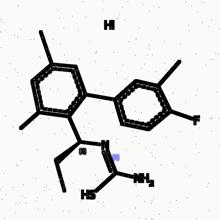 CC[C@H](/N=C(/N)S)c1c(C)cc(C)cc1-c1ccc(F)c(C)c1.I